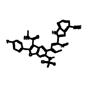 C=N/C(=C\C(=C/C)c1cc2c(C(=O)NC)c(-c3ccc(F)cc3)oc2cc1N(C)S(C)(=O)=O)c1cc2c(C#N)cccc2[nH]1